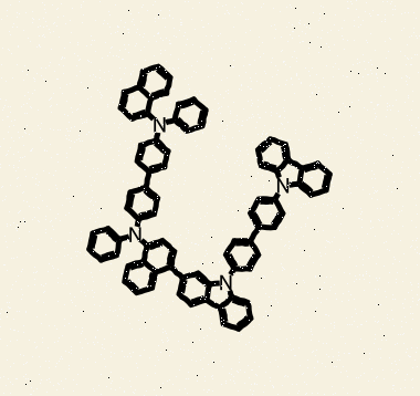 c1ccc(N(c2ccc(-c3ccc(N(c4ccccc4)c4ccc(-c5ccc6c7ccccc7n(-c7ccc(-c8ccc(-n9c%10ccccc%10c%10ccccc%109)cc8)cc7)c6c5)c5ccccc45)cc3)cc2)c2cccc3ccccc23)cc1